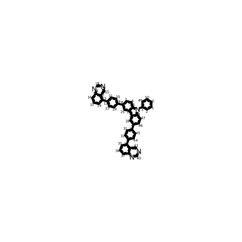 c1ccc(-n2c3ccc(-c4ccc(-c5cccc6ncncc56)cc4)cc3c3cc(-c4ccc(-c5cccc6ncncc56)cc4)ccc32)cc1